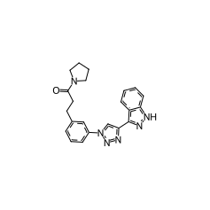 O=C(CCc1cccc(-n2cc(-c3n[nH]c4ccccc34)nn2)c1)N1CCCC1